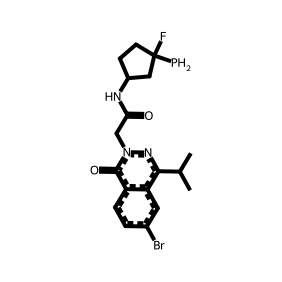 CC(C)c1nn(CC(=O)NC2CCC(F)(P)C2)c(=O)c2ccc(Br)cc12